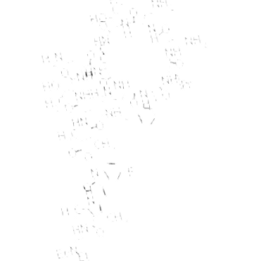 CCN(CC)CCNC(=O)c1c(C)[nH]c(/C=C2\C(=O)N(COC(=O)C(C)C(C)C(=O)NC(CCN)C(=O)N[C@H](C(=O)N[C@H](CCN)C(=O)N[C@H]3CCNC(=O)[C@@H]([C@@H](C)O)NC(=O)[C@@H](CCN)NC(=O)[C@@H](CCN)NC(=O)[C@@H](CC(C)C)NC(=O)[C@@H](Cc4ccccc4)NC(=O)[C@@H](CCN)NC3=O)[C@@H](C)O)c3ccc(F)cc32)c1C